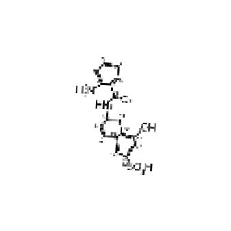 Nc1ccccc1C(=O)Nc1ccc2cc(S(=O)(=O)O)cc(O)c2c1